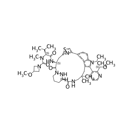 CCn1c(-c2cccnc2[C@H](C)OC)c2c3cc(ccc31)-c1csc(n1)C[C@H](NC(=O)[C@H](C(C)C)N(C)C(=O)N1CC(OC)C1)C(=O)N1CCC[C@H](N1)C(=O)NCC(C)(C)C2